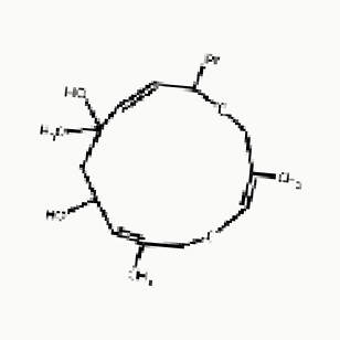 CC1=CC(O)CC(C)(O)C=CC(C(C)C)CCC(C)=CCC1